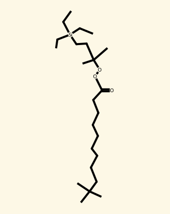 CC[Si](CC)(CC)CCC(C)(C)OOC(=O)CCCCCCCCC(C)(C)C